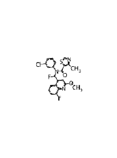 COc1cc(C(F)N(C(=O)c2scnc2C)c2cccc(Cl)c2)c2cccc(F)c2n1